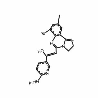 CC(=O)Nc1ccc(C(O)=CC2=Nc3c(Br)cc(C)cc3C3=NCCN23)cn1